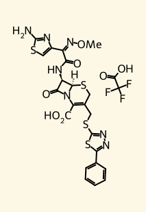 CO/N=C(\C(=O)N[C@@H]1C(=O)N2C(C(=O)O)=C(CSc3nnc(-c4ccccc4)s3)CS[C@H]12)c1csc(N)n1.O=C(O)C(F)(F)F